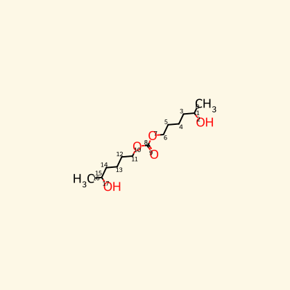 CC(O)CCCCOC(=O)OCCCCC(C)O